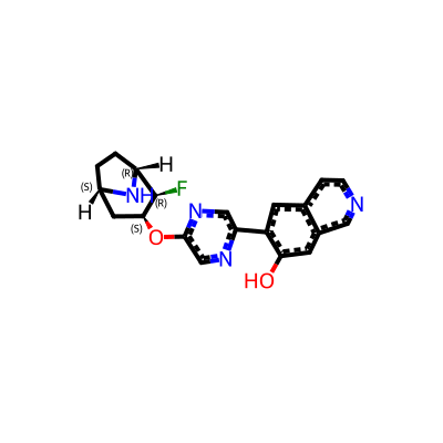 Oc1cc2cnccc2cc1-c1cnc(O[C@H]2C[C@@H]3CC[C@@H](N3)[C@H]2F)cn1